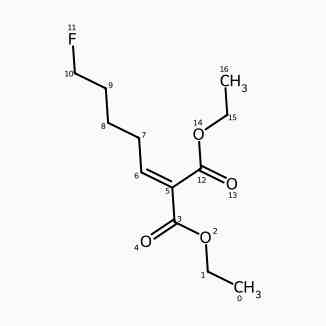 CCOC(=O)C(=CCCCCF)C(=O)OCC